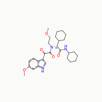 COCCN(C(=O)C(=O)c1c[nH]c2cc(OC)ccc12)[C@@H](C(=O)NC1CCCCC1)C1CCCCC1